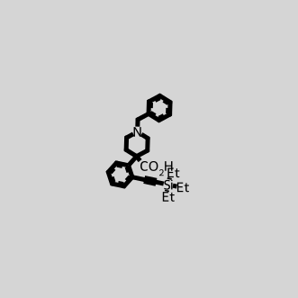 CC[Si](C#Cc1ccccc1C1(C(=O)O)CCN(Cc2ccccc2)CC1)(CC)CC